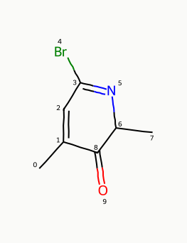 CC1=CC(Br)=NC(C)C1=O